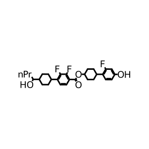 CCCC(O)C1CCC(c2ccc(C(=O)OC3CCC(c4ccc(O)cc4F)CC3)c(F)c2F)CC1